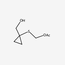 CC(=O)OCSC1(CO)CC1